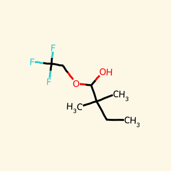 CCC(C)(C)C(O)OCC(F)(F)F